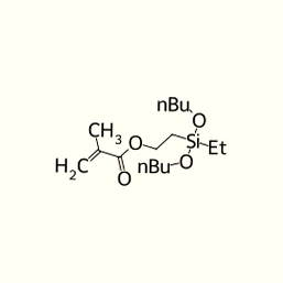 C=C(C)C(=O)OCC[Si](CC)(OCCCC)OCCCC